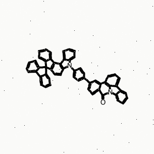 O=c1c2ccc(-c3ccc(-n4c5ccccc5c5c6c(ccc54)C4(c5ccccc5-c5ccccc54)c4ccccc4-6)cc3)cc2c2cccc3c4ccccc4n1c23